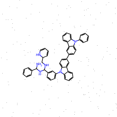 NC(NC(NCC1C=CC=CN1)c1cccc(-n2c3ccccc3c3cc(-c4ccc5c(c4)c4ccccc4n5-c4ccccc4)ccc32)c1)c1ccccc1